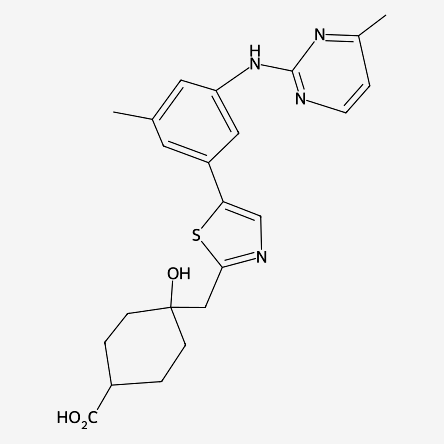 Cc1cc(Nc2nccc(C)n2)cc(-c2cnc(CC3(O)CCC(C(=O)O)CC3)s2)c1